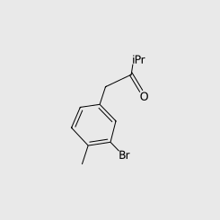 Cc1ccc(CC(=O)C(C)C)cc1Br